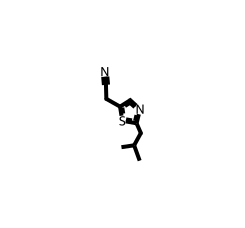 CC(C)Cc1ncc(CC#N)s1